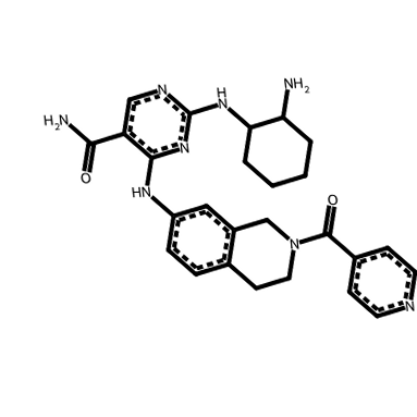 NC(=O)c1cnc(NC2CCCCC2N)nc1Nc1ccc2c(c1)CN(C(=O)c1ccncc1)CC2